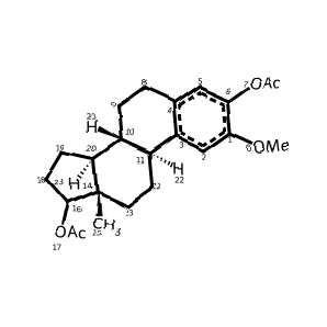 COc1cc2c(cc1OC(C)=O)CC[C@@H]1[C@@H]2CC[C@]2(C)C(OC(C)=O)CC[C@@H]12